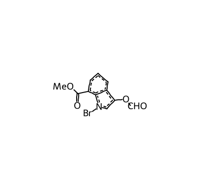 COC(=O)c1cccc2c(OC=O)cn(Br)c12